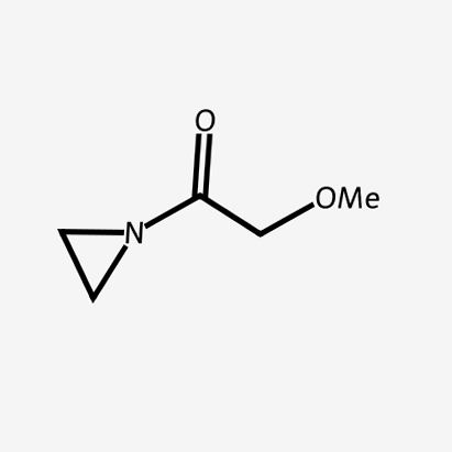 COCC(=O)N1CC1